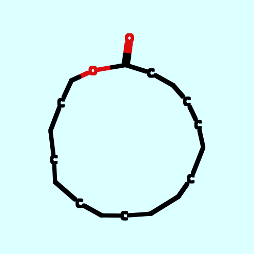 O=C1CCCCCCCCCCCCCCCCO1